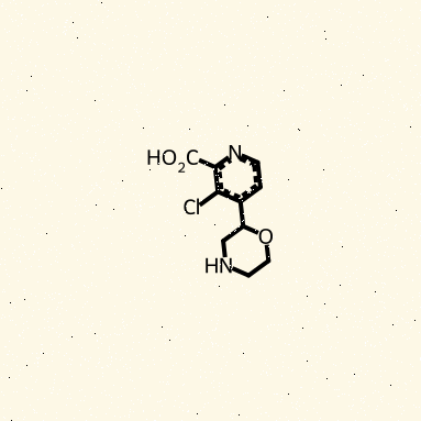 O=C(O)c1nccc(C2CNCCO2)c1Cl